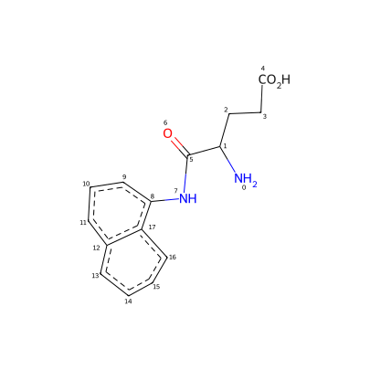 NC(CCC(=O)O)C(=O)Nc1cccc2ccccc12